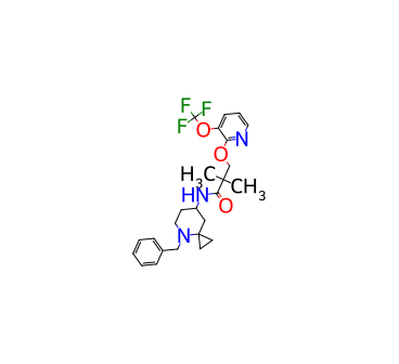 CC(C)(COc1ncccc1OC(F)(F)F)C(=O)NC1CCN(Cc2ccccc2)C2(CC2)C1